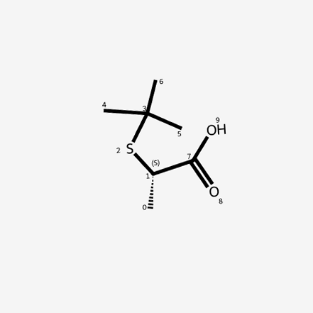 C[C@H](SC(C)(C)C)C(=O)O